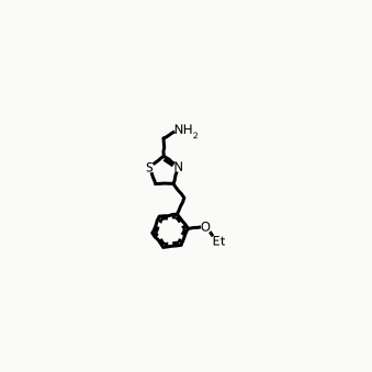 CCOc1ccccc1CC1CSC(CN)=N1